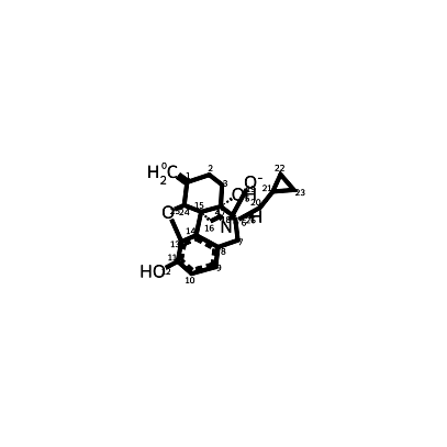 C=C1CC[C@@]2(O)[C@H]3Cc4ccc(O)c5c4[C@@]2(CC[N+]3([O-])CC2CC2)C1O5